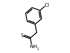 NC(=S)Cc1cccc(Cl)c1